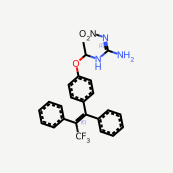 CC(N/C(N)=N\[N+](=O)[O-])Oc1ccc(/C(=C(\c2ccccc2)C(F)(F)F)c2ccccc2)cc1